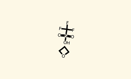 C1COC1.O=S(=O)(O)C(F)(F)F